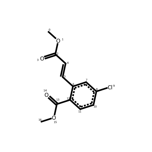 COC(=O)C=Cc1cc(Cl)ccc1C(=O)OC